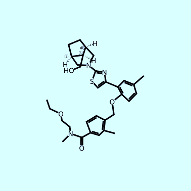 CCOCCN(C)C(=O)c1ccc(COc2ccc(C)cc2-c2csc(N3C[C@H]4CC[C@@H](C3)[C@H]4CO)n2)c(C)c1